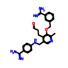 Cc1ncc(CNc2ccc(C(=N)N)cc2)c(CCC=O)c1OCc1cccc(C(=N)N)c1